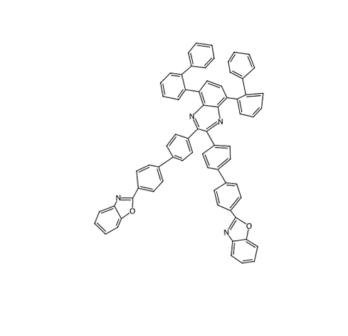 c1ccc(-c2ccccc2-c2ccc(-c3ccccc3-c3ccccc3)c3nc(-c4ccc(-c5ccc(-c6nc7ccccc7o6)cc5)cc4)c(-c4ccc(-c5ccc(-c6nc7ccccc7o6)cc5)cc4)nc23)cc1